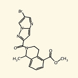 COC(=O)c1cccc2c1CCN(C(=O)c1cc3ncc(Br)cn3n1)C2C